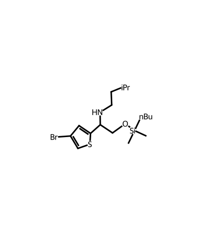 CCCC[Si](C)(C)OCC(NCCC(C)C)c1cc(Br)cs1